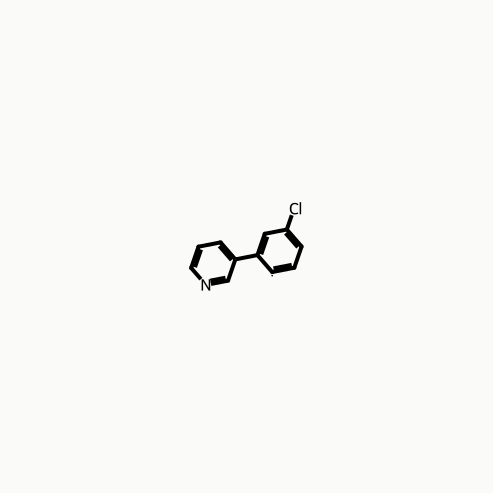 Clc1cc[c]c(-c2cccnc2)c1